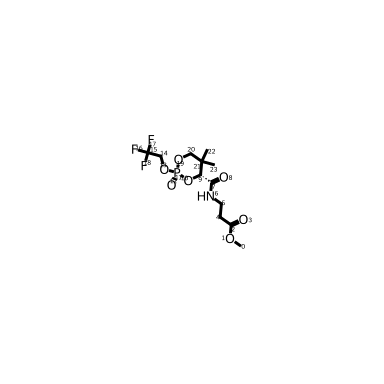 COC(=O)CCNC(=O)[C@@H]1OP(=O)(OCC(F)(F)F)OCC1(C)C